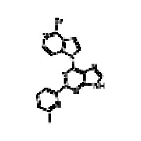 Cc1cccc(-c2nc(-n3ccc4c(Br)nccc43)c3nc[nH]c3n2)n1